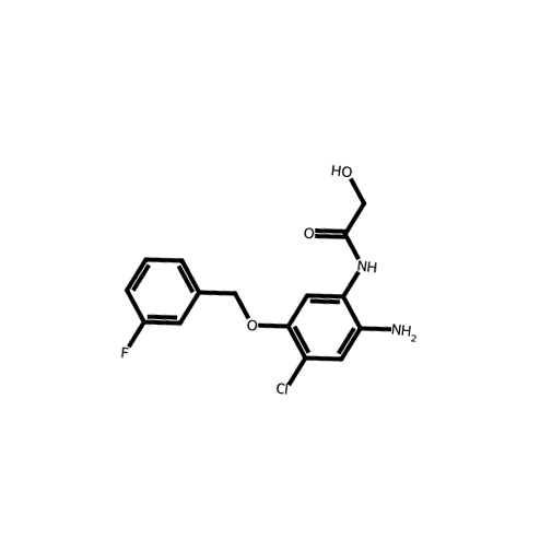 Nc1cc(Cl)c(OCc2cccc(F)c2)cc1NC(=O)CO